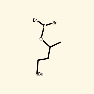 CCCCCCC(C)OP(Br)Br